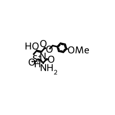 COc1ccc(COC(=O)C2=C(O)C[S+]([O-])[C@@H]3C(N)C(=O)N23)cc1